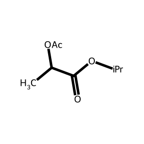 CC(=O)OC(C)C(=O)OC(C)C